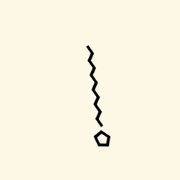 C1CCCC1.CCCCCCCCCCCC